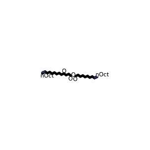 CCCCCCCC/C=C\CCCCCCCC(=O)CCC(=O)OC(=O)CCCCCCC/C=C\CCCCCCCC